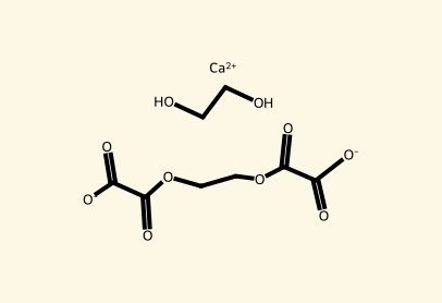 O=C([O-])C(=O)OCCOC(=O)C(=O)[O-].OCCO.[Ca+2]